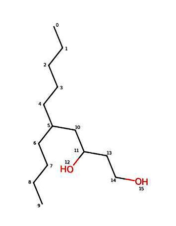 CCCCCC(CCCC)CC(O)CCO